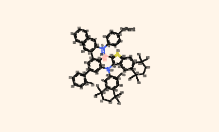 CCCCCc1ccc(Nc2cc3ccccc3cc2-c2cc(-c3ccccc3C)cc3c2Bc2sc4cc5c(cc4c2N3c2cc3c(cc2C)C(C)(C)CCC3(C)C)C(C)(C)CCC5(C)C)cc1